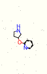 [c]1cccnc1OC1CCNC1